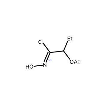 CCC(OC(C)=O)/C(Cl)=N/O